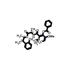 C=N/C(C(=O)N[C@@H](C)C(=O)O[C@@H](C)[C@@H](C)c1ccccc1C)=C(OC(=O)c1ccccc1)\C(=C/C)OC